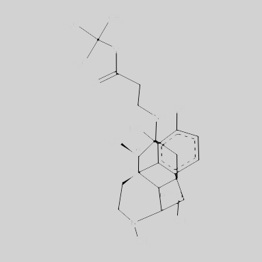 CO[C@@]12CCC(NCCC(=O)OC(C)(C)C)[C@H](C)[C@@]13CCN(C)C2Cc1ccc(O)c(O)c13